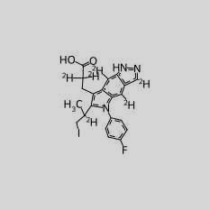 [2H]c1n[nH]c2c([2H])c3c(CC([2H])([2H])C(=O)O)c(C([2H])(C)CI)n(-c4ccc(F)cc4)c3c([2H])c12